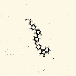 O=c1[nH]c2ccccc2n1C1CCN(Cc2ccc(-c3[c]ccc(N4CCN(CCO)CC4)c3)cc2)CC1